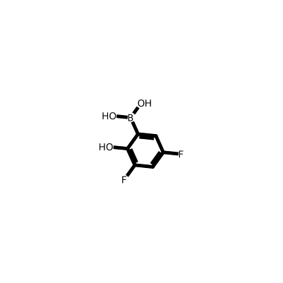 OB(O)c1cc(F)cc(F)c1O